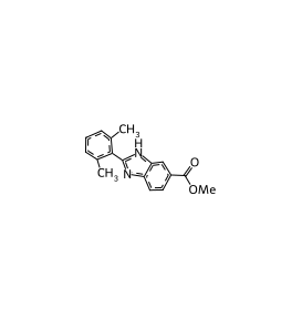 COC(=O)c1ccc2nc(-c3c(C)cccc3C)[nH]c2c1